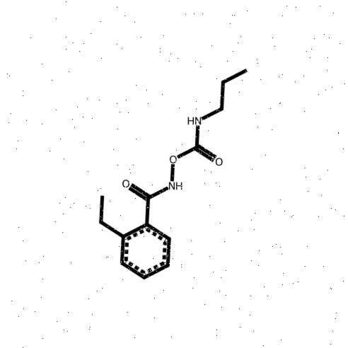 CCCNC(=O)ONC(=O)c1ccccc1CC